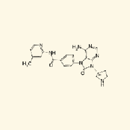 Cc1ccnc(NC(=O)c2ccc(-n3c(=O)n([C@@H]4CCNC4)c4ncnc(N)c43)cc2)c1